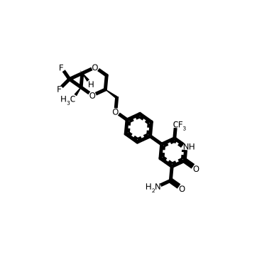 C[C@]12O[C@H](COc3ccc(-c4cc(C(N)=O)c(=O)[nH]c4C(F)(F)F)cc3)CO[C@H]1C2(F)F